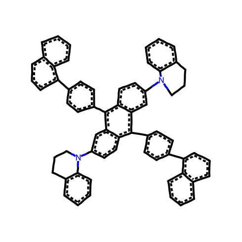 c1ccc2c(c1)CCCN2c1ccc2c(-c3ccc(-c4cccc5ccccc45)cc3)c3cc(N4CCCc5ccccc54)ccc3c(-c3ccc(-c4cccc5ccccc45)cc3)c2c1